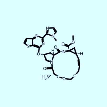 COC(=O)[C@@]12C[C@H]1/C=C\CCCCC[C@H](N)C(=O)N1C[C@H](Oc3nc(-c4nccn4C)nc4ccsc34)C[C@H]1C(=O)N2